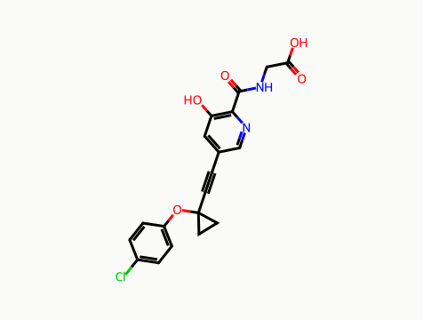 O=C(O)CNC(=O)c1ncc(C#CC2(Oc3ccc(Cl)cc3)CC2)cc1O